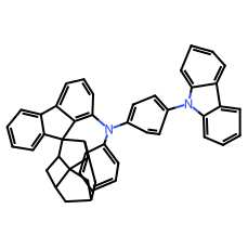 c1ccc(N(c2ccc(-n3c4ccccc4c4ccccc43)cc2)c2cccc3c2C2(c4ccccc4-3)C3CC4CC5CC2C5(C4)C3)cc1